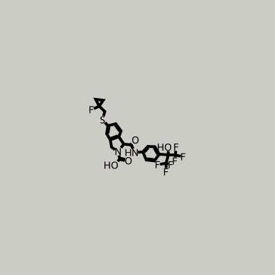 O=C(Nc1ccc(C(O)(C(F)(F)F)C(F)(F)F)cc1)C1c2ccc(SCC3(F)CC3)cc2CN1C(=O)O